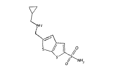 NS(=O)(=O)c1cc2cc(CNCC3CC3)sc2s1